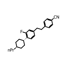 CCC[C@H]1CC[C@H](c2ccc(CCc3ccc(C#N)cc3)cc2F)CC1